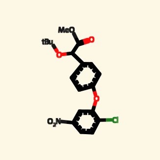 COC(=O)C(OC(C)(C)C)c1ccc(Oc2cc([N+](=O)[O-])ccc2Cl)cc1